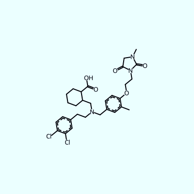 Cc1cc(CN(CCc2ccc(Cl)c(Cl)c2)CC2CCCCC2C(=O)O)ccc1OCCN1C(=O)CN(C)C1=O